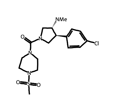 CN[C@H]1CN(C(=O)N2CCN(S(C)(=O)=O)CC2)C[C@@H]1c1ccc(Cl)cc1